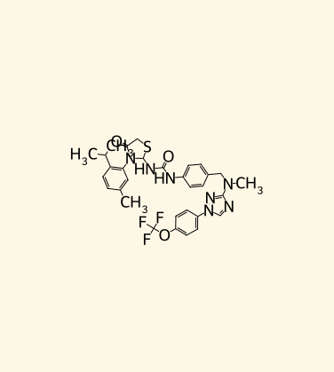 Cc1ccc(C(C)C)c(N2C(=O)CSC2NC(=O)Nc2ccc(CN(C)c3ncn(-c4ccc(OC(F)(F)F)cc4)n3)cc2)c1